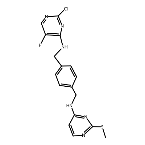 CSc1nccc(NCc2ccc(CNc3nc(Cl)ncc3F)cc2)n1